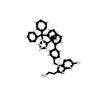 CCCc1nc2nc(Cl)ccc2n1Cc1ccc(-c2ccccc2-c2nnnn2C(c2ccccc2)(c2ccccc2)c2ccccc2)cc1